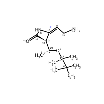 C[C@@H](O[Si](C)(C)C(C)(C)C)[C@H]1C(=O)N/C1=C/CN